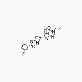 CCCn1cnc2nc(-c3ccc(N(C)C(=O)c4cccc(F)c4)nc3)[nH]c2c1=O